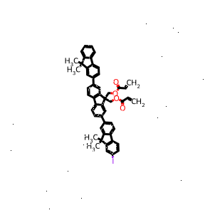 C=CC(=O)OCC1(COC(=O)C=C)c2cc(-c3ccc4c(c3)C(C)(C)c3ccccc3-4)ccc2-c2ccc(-c3ccc4c(c3)C(C)(C)c3cc(I)ccc3-4)cc21